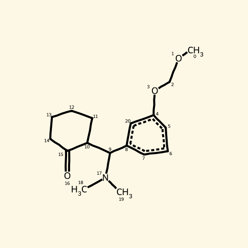 COCOc1cccc(C(C2CCCCC2=O)N(C)C)c1